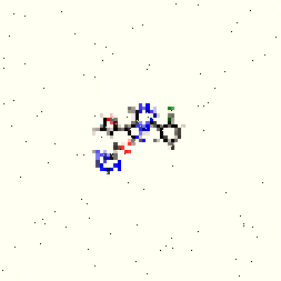 Cn1ncnc1COc1nn2c(-c3ccccc3F)nncc2c1-c1ccco1